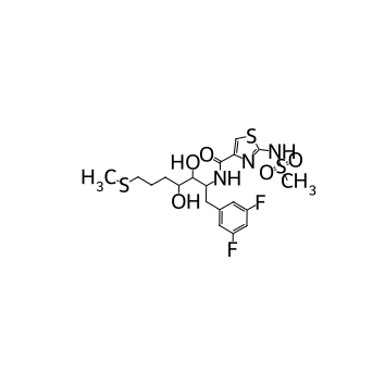 CSCCCC(O)C(O)C(Cc1cc(F)cc(F)c1)NC(=O)c1csc(NS(C)(=O)=O)n1